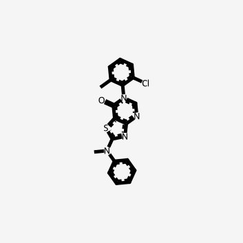 Cc1cccc(Cl)c1-n1cnc2nc(N(C)c3ccccc3)sc2c1=O